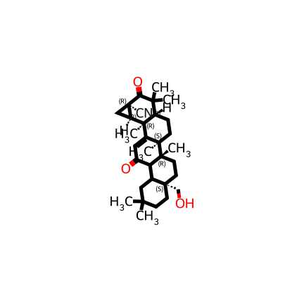 CC1(C)CC[C@]2(CO)CC[C@]3(C)C(C(=O)C=C4[C@@]5(C)[C@H]6C[C@@]6(C#N)C(=O)C(C)(C)[C@@H]5CC[C@]43C)C2C1